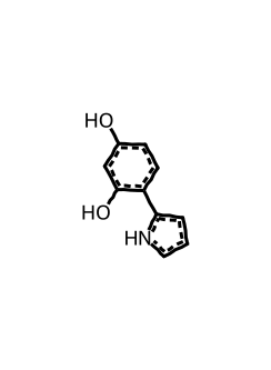 Oc1ccc(-c2ccc[nH]2)c(O)c1